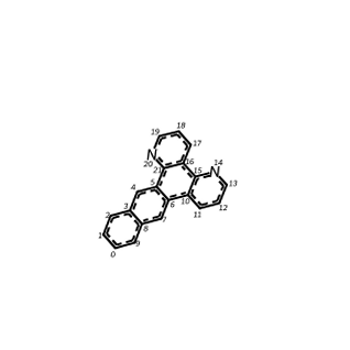 c1ccc2cc3c(cc2c1)c1cccnc1c1cccnc31